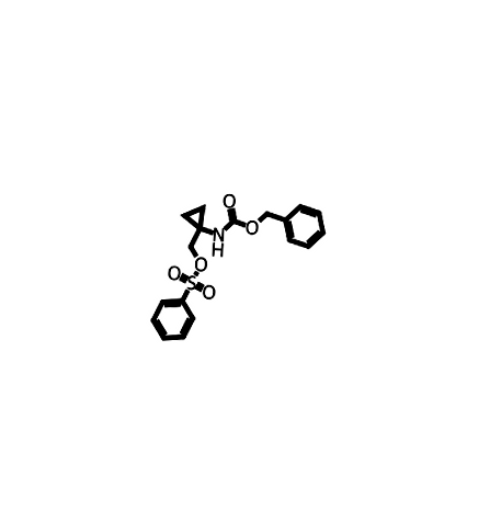 O=C(NC1(COS(=O)(=O)c2ccccc2)CC1)OCc1ccccc1